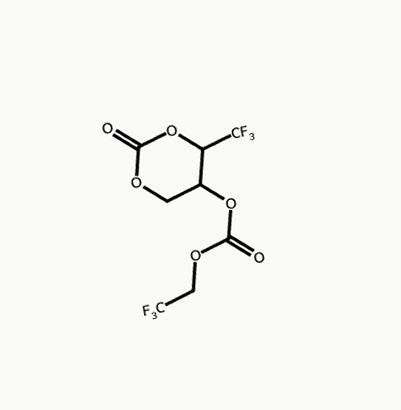 O=C(OCC(F)(F)F)OC1COC(=O)OC1C(F)(F)F